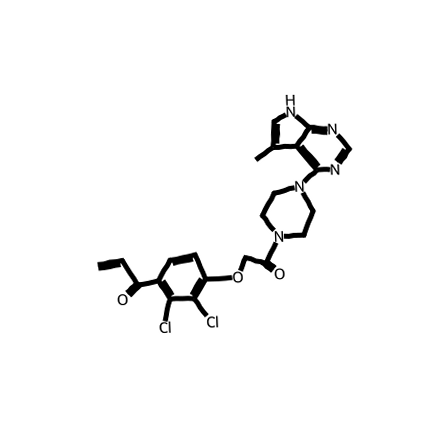 C=CC(=O)c1ccc(OCC(=O)N2CCN(c3ncnc4[nH]cc(C)c34)CC2)c(Cl)c1Cl